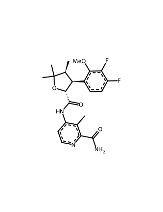 COc1c([C@H]2[C@H](C(=O)Nc3ccnc(C(N)=O)c3C)OC(C)(C)[C@H]2C)ccc(F)c1F